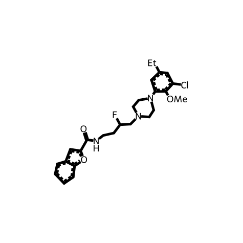 CCc1cc(Cl)c(OC)c(N2CCN(CC(F)CCNC(=O)c3cc4ccccc4o3)CC2)c1